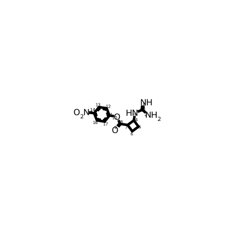 N=C(N)NC1CCC1C(=O)Oc1ccc([N+](=O)[O-])cc1